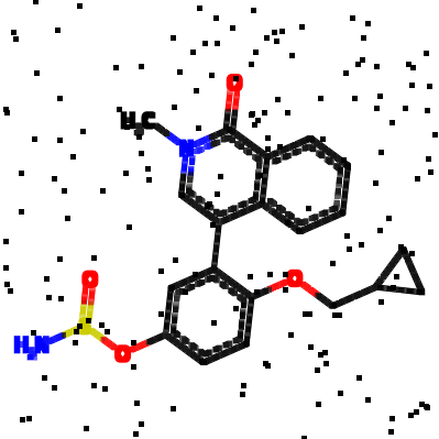 Cn1cc(-c2cc(OS(N)=O)ccc2OCC2CC2)c2ccccc2c1=O